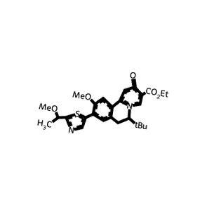 CCOC(=O)c1cn2c(cc1=O)-c1cc(OC)c(-c3cnc(C(C)OC)s3)cc1CC2C(C)(C)C